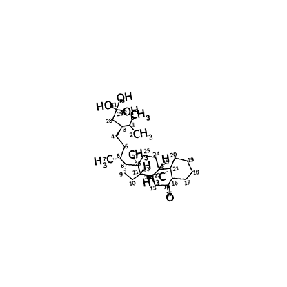 CC(C)[C@@H](CC[C@@H](C)[C@H]1CC[C@H]2[C@@H]3CC(=O)C4CCCC[C@]4(C)[C@H]3CC[C@]12C)CC(O)(O)O